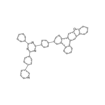 c1ccc(-c2nc(-c3ccc(-c4cccnc4)cc3)nc(-c3ccc(-c4ccc5c(c4)c4ccccc4c4cc6c(cc54)oc4ccccc46)cc3)n2)cc1